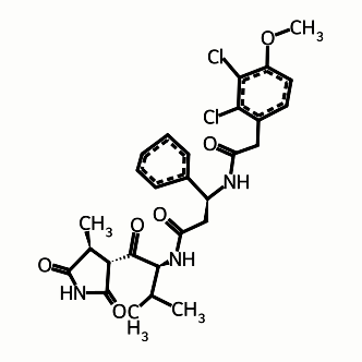 COc1ccc(CC(=O)N[C@@H](CC(=O)N[C@H](C(=O)[C@@H]2C(=O)NC(=O)[C@H]2C)C(C)C)c2ccccc2)c(Cl)c1Cl